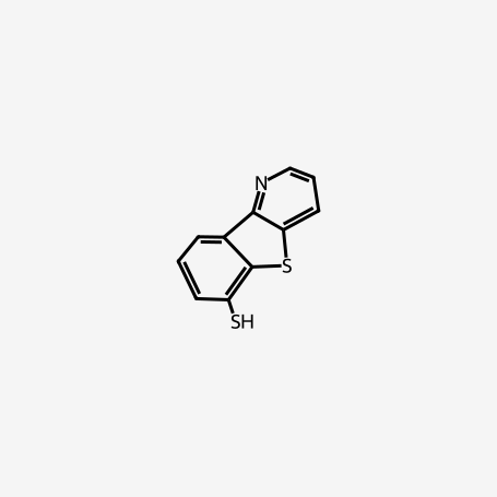 Sc1cccc2c1sc1cccnc12